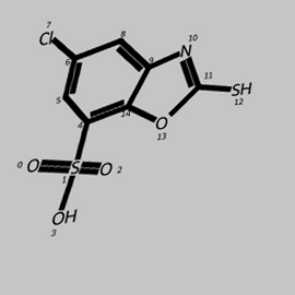 O=S(=O)(O)c1cc(Cl)cc2nc(S)oc12